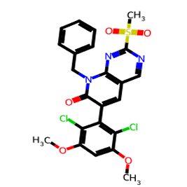 COc1cc(OC)c(Cl)c(-c2cc3cnc(S(C)(=O)=O)nc3n(Cc3ccccc3)c2=O)c1Cl